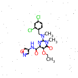 CCOc1c(C(=O)Nc2cnoc2)nc(N(C)Cc2ccc(Cl)cc2Cl)n(C)c1=O